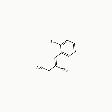 CCc1ccccc1/C=C(\C)COC(C)=O